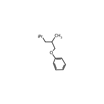 CC(C)CC(C)COc1ccccc1